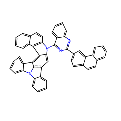 c1ccc2c(c1)ccc1ccc(-c3nc(-n4c5ccc6ccccc6c5c5c6c7ccccc7n7c8ccccc8c(cc54)c67)c4ccccc4n3)cc12